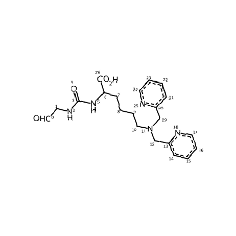 O=CCNC(=O)NC(CCCCN(Cc1ccccn1)Cc1ccccn1)C(=O)O